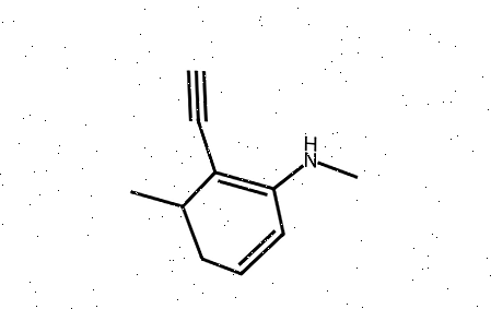 C#CC1=C(NC)C=CCC1C